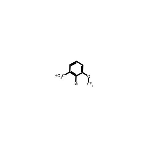 O=C(O)c1cccc(OC(F)(F)F)c1Br